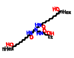 CCCCCCC(O)CCCCCCCCCCC(=O)NCCN(CCNC(=O)CCCCCCCCCCC(O)CCCCCC)CCNC(=O)CC(O)CC